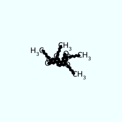 CCCCCCOc1cc2c(OCCCCCC)cc3c(ccc4cc(OCCCCCC)c5cc(OCCCCCC)c(C=O)cc5c43)c2cc1C=O